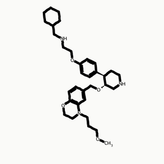 COCCCN1CCOc2ccc(CO[C@H]3CNCC[C@@H]3c3ccc(OCCNCC4CCCCC4)cc3)cc21